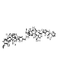 Cc1ncsc1-c1ccc([C@H](C)NC(=O)[C@@H]2C[C@@H](O)CN2C(=O)[C@@H](NC(=O)CCCc2ccc(C(=O)NC3C(C)(C)C(Oc4ccc(C#N)c(Cl)c4)C3(C)C)cc2)C(C)(C)C)cc1